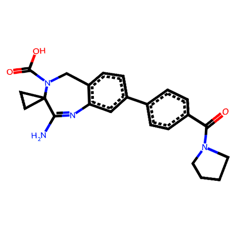 NC1=Nc2cc(-c3ccc(C(=O)N4CCCC4)cc3)ccc2CN(C(=O)O)C12CC2